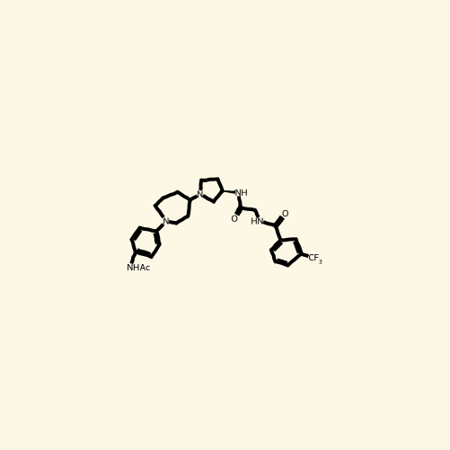 CC(=O)Nc1ccc(N2CCCC(N3CC[C@@H](NC(=O)CNC(=O)c4cccc(C(F)(F)F)c4)C3)CC2)cc1